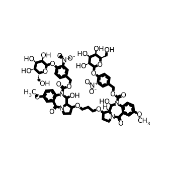 COc1ccc2c(c1)C(=O)N1CCC(OCCCOC3CCN4C(=O)c5cc(OC)ccc5N(C(=O)OCc5ccc(OC6O[C@H](CO)[C@H](O)[C@H](O)[C@H]6O)c([N+](=O)[O-])c5)[C@@H](O)[C@H]34)C1C(O)N2C(=O)OCc1ccc(OC2O[C@H](CO)[C@H](O)[C@H](O)[C@H]2O)c([N+](=O)[O-])c1